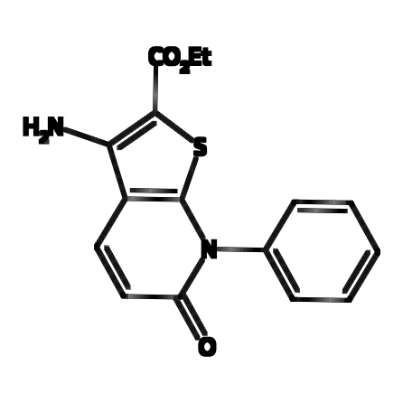 CCOC(=O)c1sc2c(ccc(=O)n2-c2ccccc2)c1N